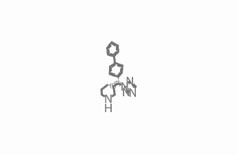 c1ccc(-c2ccc([C@@H]([C@H]3CCCNC3)n3ncnn3)cc2)cc1